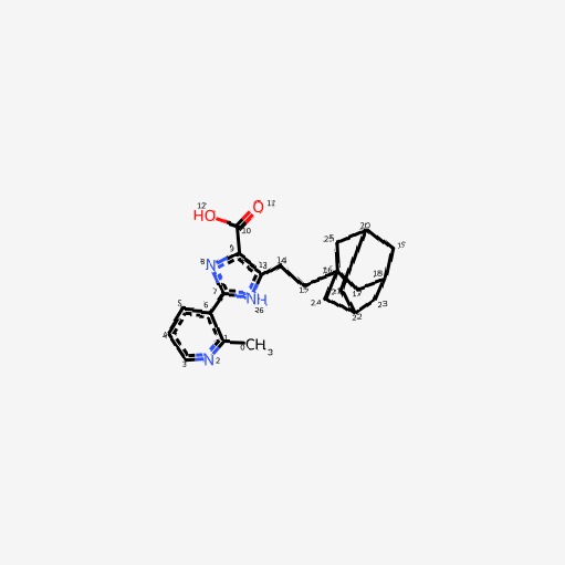 Cc1ncccc1-c1nc(C(=O)O)c(CCC23CC4CC(CC(C4)C2)C3)[nH]1